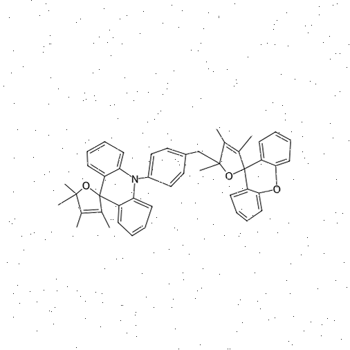 CC1=C(C)C2(OC1(C)C)c1ccccc1N(c1ccc(CC3(C)OC4(C(C)=C3C)c3ccccc3Oc3ccccc34)cc1)c1ccccc12